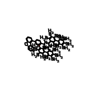 Bc1c(B)c(B)c(-c2c(B)c(B)c(B)c(-c3nc(-c4ccc(-c5cccc6oc7ccccc7c56)cc4)nc(-c4c(B)c(B)c(B)c(B)c4-c4c(B)c(B)c(B)c(B)c4B)n3)c2B)c(B)c1B